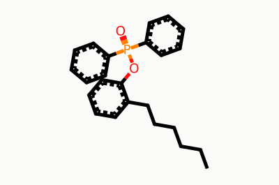 CCCCCCc1ccccc1OP(=O)(c1ccccc1)c1ccccc1